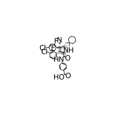 CC1(C[C@@H]2N[C@@H](C(=O)Nc3ccc(C(=O)O)cc3)[C@H](c3cccc(Cl)c3F)[C@@]2(C#N)c2ccc(Cl)cc2F)CCCCC1